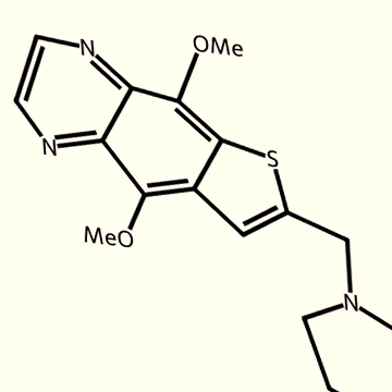 COc1c2cc(CN3CCOCC3)sc2c(OC)c2nccnc12